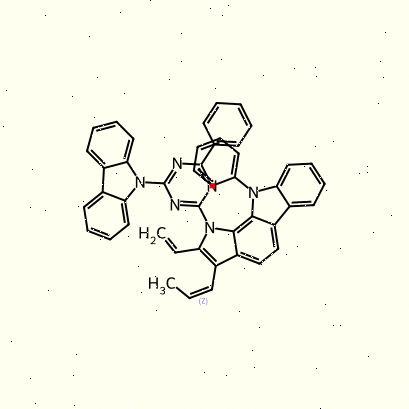 C=Cc1c(/C=C\C)c2ccc3c4ccccc4n(-c4ccccc4)c3c2n1-c1nc(-c2ccccc2)nc(-n2c3ccccc3c3ccccc32)n1